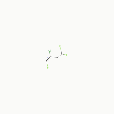 F/C=C(/Cl)CC(F)F